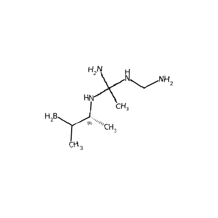 BC(C)[C@@H](C)NC(C)(N)NCN